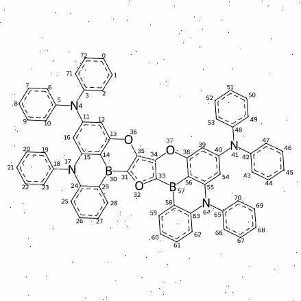 c1ccc(N(c2ccccc2)c2cc3c4c(c2)N(c2ccccc2)c2ccccc2B4c2oc4c(c2O3)Oc2cc(N(c3ccccc3)c3ccccc3)cc3c2B4c2ccccc2N3c2ccccc2)cc1